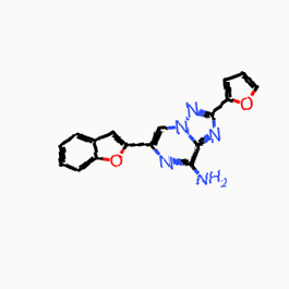 Nc1nc(-c2cc3ccccc3o2)cn2nc(-c3ccco3)nc12